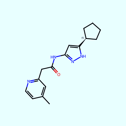 Cc1ccnc(CC(=O)Nc2cc([C@H]3C[CH]CC3)[nH]n2)c1